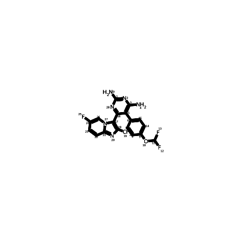 Nc1nc(N)c(-c2ccc(OC(F)F)cc2)c(-c2c(C(F)(F)F)nc3ccc(F)cn23)n1